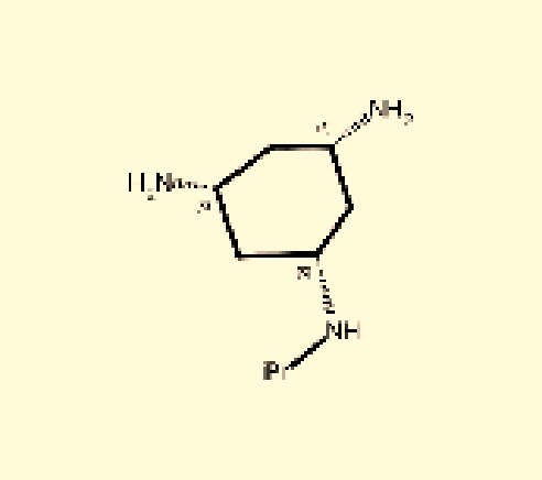 CC(C)N[C@@H]1C[C@H](N)C[C@H](N)C1